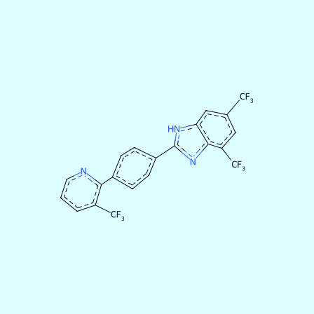 FC(F)(F)c1cc(C(F)(F)F)c2nc(-c3ccc(-c4ncccc4C(F)(F)F)cc3)[nH]c2c1